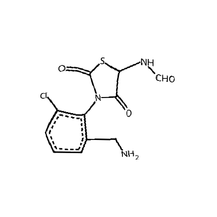 NCc1cccc(Cl)c1N1C(=O)SC(NC=O)C1=O